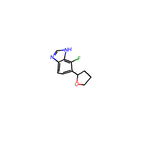 Fc1c(C2CCCO2)ccc2nc[nH]c12